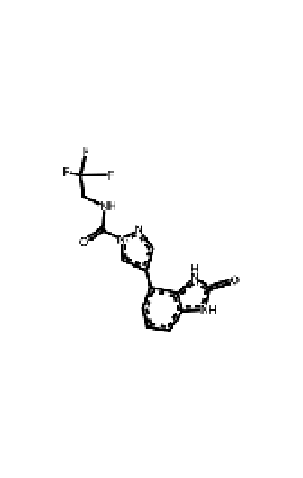 O=C(NCC(F)(F)F)n1cc(-c2cccc3[nH]c(=O)[nH]c23)cn1